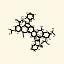 CC(C)c1cc(C(C)C)c(C2=c3cc4cc5c(cc4cc3C3=C2S(=O)(=O)c2ccccc23)=C(c2c(C(C)C)cc(C(C)C)cc2C(C)C)C2=C5c3ccccc3S2(=O)=O)c(C(C)C)c1